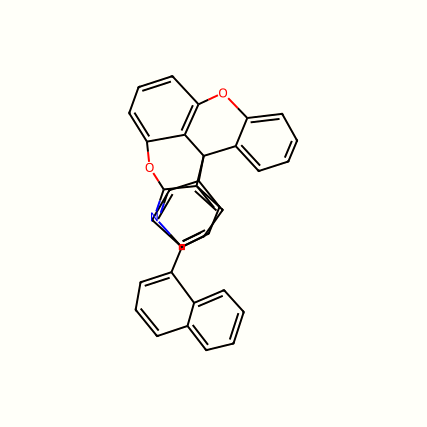 c1ccc2c(c1)Oc1cccc3c1C2(c1ccc(-c2cccc4ccccc24)cc1)c1cccnc1O3